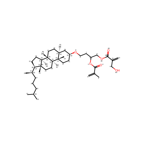 C=C(C)C(=O)OC(CCO[C@H]1CC[C@@]2(C)[C@@H](CC[C@@H]3[C@@H]2CC[C@]2(C)[C@@H]([C@H](C)CCCC(C)C)CC[C@@H]32)C1)COC(=O)C(=C)CO